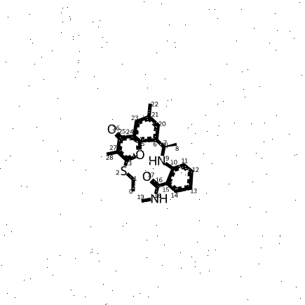 CCSc1oc2c([C@@H](C)Nc3ccccc3C(=O)NC)cc(C)cc2c(=O)c1C